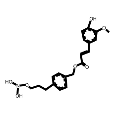 COc1cc(/C=C/C(=O)OCc2ccc(CCCON(O)O)cc2)ccc1O